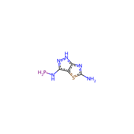 Nc1nc2[nH]nc(NP)c2s1